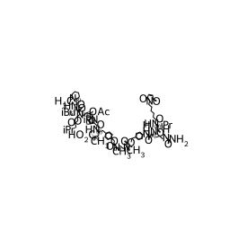 CC[C@H](C)[C@H](NC(=O)[C@H]1CCCCN1C)C(=O)N(COC(=O)CC(C)C)[C@H](C[C@@H](OC(C)=O)c1nc(C(=O)N[C@@H](Cc2ccc(OC(=O)N(C)CCN(C)C(=O)OCc3ccc(NC(=O)[C@@H](CCCNC(N)=O)NC(=O)[C@H](NC(=O)CCCCCN4C(=O)C=CC4=O)C(C)C)cc3)cc2)C[C@H](C)C(=O)O)cs1)C(C)C